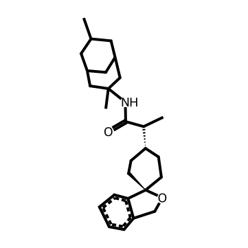 CC1CC2CC(C1)CC(C)(NC(=O)C(C)[C@H]1CC[C@@]3(CC1)OCc1ccccc13)C2